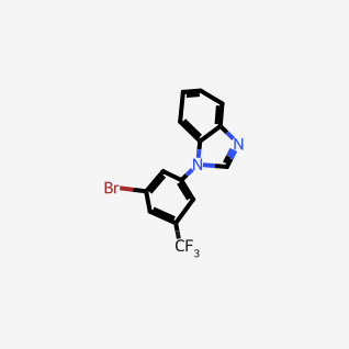 FC(F)(F)c1cc(Br)cc(-n2cnc3ccccc32)c1